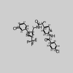 CC(C(=O)NCc1cc(C(F)(F)F)nn1-c1cccc(Cl)c1)c1ccc(NC(=O)c2ccc(Cl)cc2)nc1